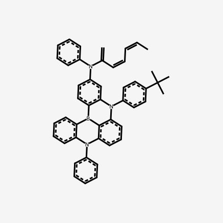 C=C(/C=C\C=C/C)N(c1ccccc1)c1ccc2c(c1)N(c1ccc(C(C)(C)C)cc1)c1cccc3c1B2c1ccccc1N3c1ccccc1